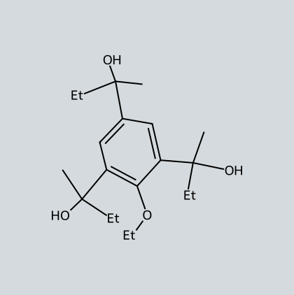 CCOc1c(C(C)(O)CC)cc(C(C)(O)CC)cc1C(C)(O)CC